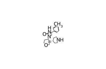 Cc1cccc(C2CN(C3CCOC[C@H]3C3CCNCC3)C(=O)N2)c1